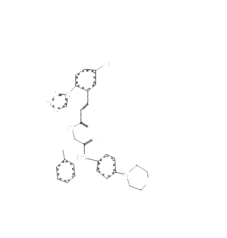 O=C(C=Cc1cc(Cl)ccc1-n1cnnn1)N[C@@H](Cc1ccccc1)C(=O)Nc1ccc(N2CCOCC2)cc1